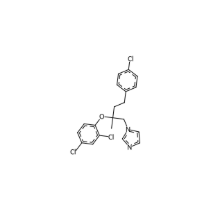 CC(CCc1ccc(Cl)cc1)(Cn1ccnc1)Oc1ccc(Cl)cc1Cl